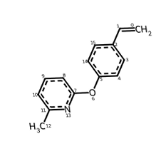 C=Cc1ccc(Oc2cccc(C)n2)cc1